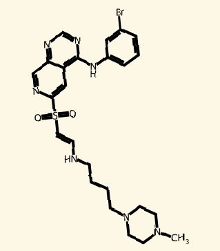 CN1CCN(CCCCNC=CS(=O)(=O)c2cc3c(Nc4cccc(Br)c4)ncnc3cn2)CC1